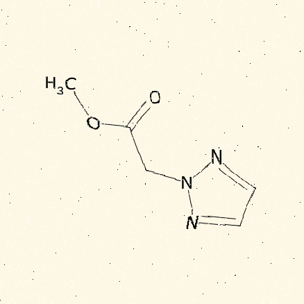 COC(=O)Cn1nccn1